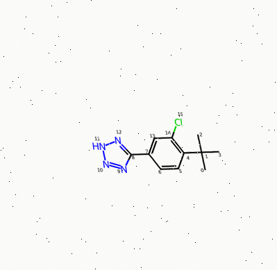 CC(C)(C)c1ccc(-c2nn[nH]n2)cc1Cl